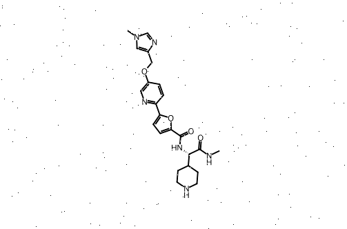 CNC(=O)[C@@H](NC(=O)c1ccc(-c2ccc(OCc3cn(C)cn3)cn2)o1)C1CCNCC1